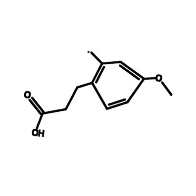 [CH2]c1cc(OC)ccc1CCC(=O)O